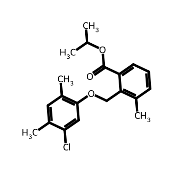 Cc1cc(C)c(OCc2c(C)cccc2C(=O)OC(C)C)cc1Cl